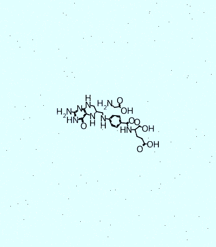 NCC(=O)O.Nc1nc2c(c(=O)[nH]1)NC(CNc1ccc(C(=O)NC(CCC(=O)O)C(=O)O)cc1)CN2